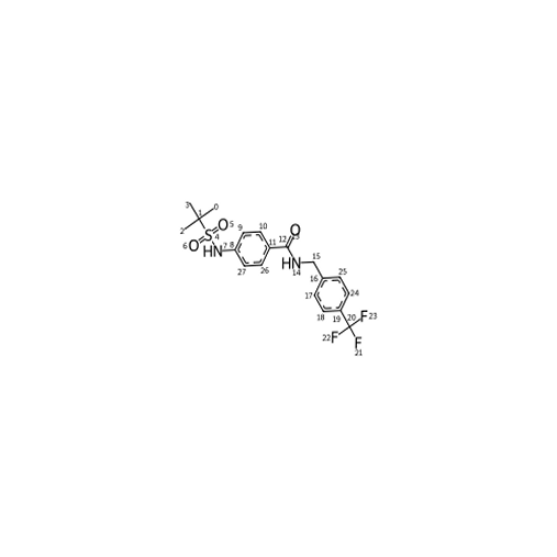 CC(C)(C)S(=O)(=O)Nc1ccc(C(=O)NCc2ccc(C(F)(F)F)cc2)cc1